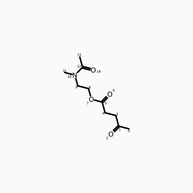 CC(=O)CCC(=O)OCCN(C)C(C)=O